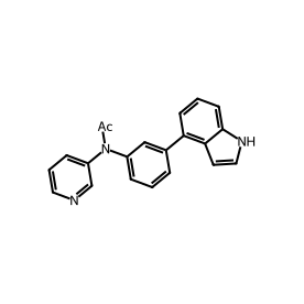 CC(=O)N(c1cccnc1)c1cccc(-c2cccc3[nH]ccc23)c1